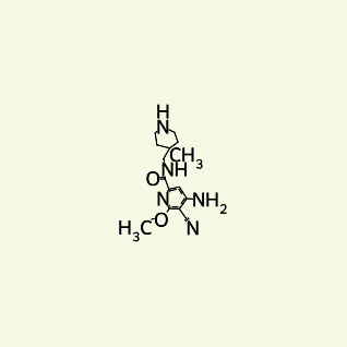 CCOc1nc(C(=O)NCC2(C)CCNCC2)cc(N)c1C#N